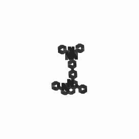 c1ccc(-c2ccc3c(n2)-c2nc(-c4ccc(-c5ccc(-c6nc(-c7ccccc7)nc(-c7ccccc7)n6)cc5)cc4)cc(-c4ccccc4)c2CC3)cc1